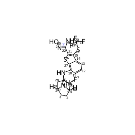 CN1[C@@H]2CC[C@H]1[C@H](F)[C@H](Nc1cccc3c(SC(F)(F)F)c(/C(N)=N/O)sc13)C2